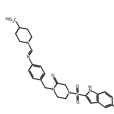 O=C(O)C1CCN(C=Nc2ccc(CN3CCN(S(=O)(=O)c4cc5cc(Cl)ccc5[nH]4)CC3=O)cc2)CC1